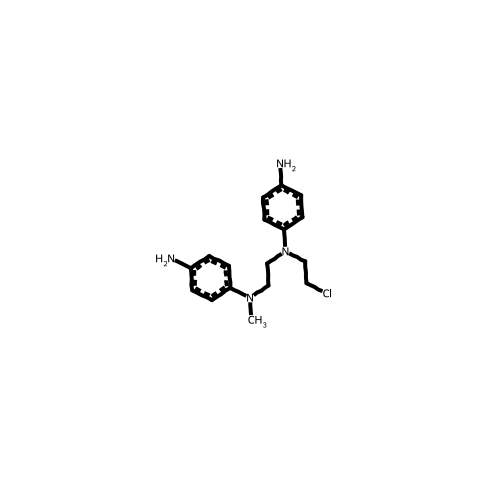 CN(CCN(CCCl)c1ccc(N)cc1)c1ccc(N)cc1